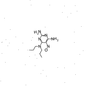 CCCN(CCC)c1nc(N)nc(N)c1N=O